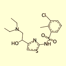 CCN(CC)CC(O)c1csc(NS(=O)(=O)c2cccc(Cl)c2C)n1